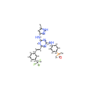 Cc1cc(Nc2nc(/C=C/c3cccc(C(F)(F)F)c3)nc(Nc3ccc(P(C)(C)=O)cc3)n2)n[nH]1